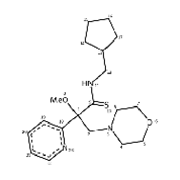 COC(CN1CCOCC1)(C(=S)NCC1CCCC1)c1ccccn1